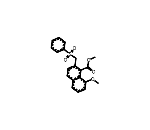 COC(=O)c1c(CS(=O)(=O)c2ccccc2)ccc2cccc(OC)c12